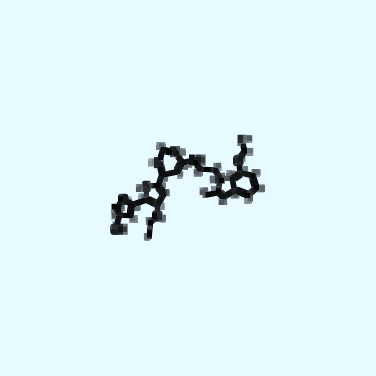 CCOc1cc(-c2cc(NCCn3c(C)cc4cccc(OCF)c43)ncn2)sc1-c1cc(O)no1